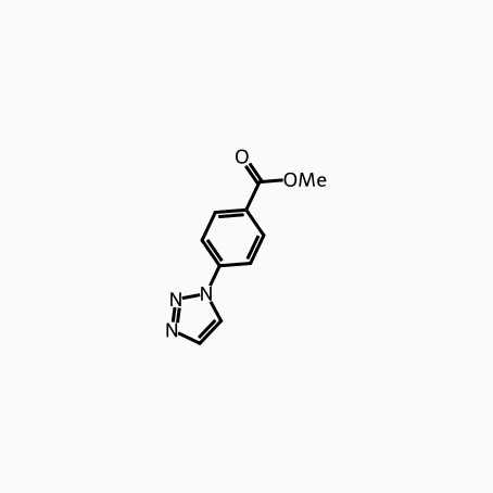 COC(=O)c1ccc(-n2ccnn2)cc1